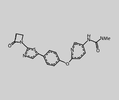 CNC(=O)Nc1ccc(Oc2ccc(-c3cnc(N4CCC4=O)s3)cc2)nc1